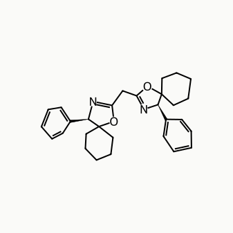 c1ccc([C@H]2N=C(CC3=N[C@H](c4ccccc4)C4(CCCCC4)O3)OC23CCCCC3)cc1